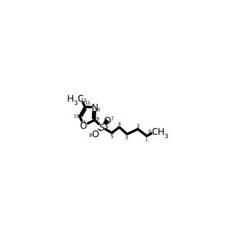 CCCCCCS(=O)(=O)c1nc(C)co1